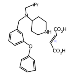 CC(C)CN(Cc1cccc(Oc2ccccc2)c1)C1CCNCC1.O=C(O)/C=C/C(=O)O